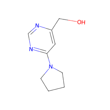 OCc1cc(N2CCCC2)ncn1